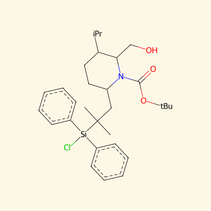 CC(C)C1CCC(CC(C)(C)[Si](Cl)(c2ccccc2)c2ccccc2)N(C(=O)OC(C)(C)C)C1CO